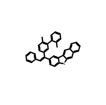 Cc1ccccc1-c1cc(/C(=C\c2ccccc2)c2ccc3sc4cc5ccccc5cc4c3c2)ccc1C